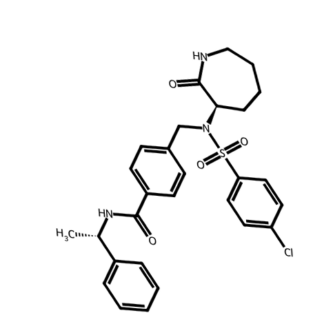 C[C@H](NC(=O)c1ccc(CN([C@@H]2CCCCNC2=O)S(=O)(=O)c2ccc(Cl)cc2)cc1)c1ccccc1